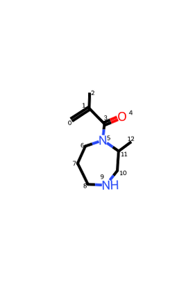 C=C(C)C(=O)N1CCCNCC1C